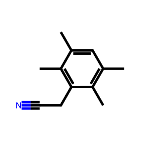 Cc1cc(C)c(C)c(CC#N)c1C